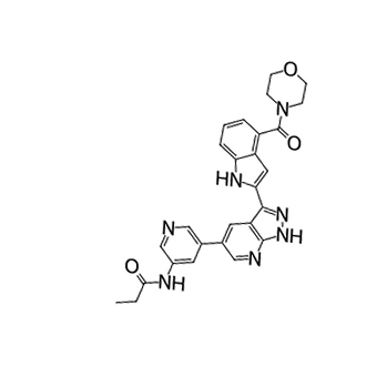 CCC(=O)Nc1cncc(-c2cnc3[nH]nc(-c4cc5c(C(=O)N6CCOCC6)cccc5[nH]4)c3c2)c1